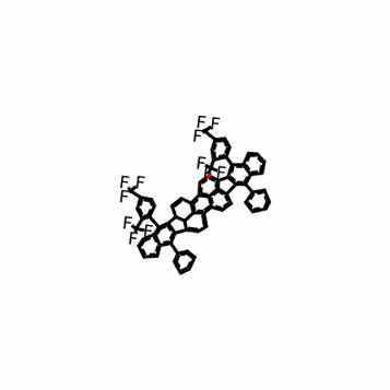 FC(F)(F)c1ccc(-c2c3c(c(-c4ccccc4)c4ccccc24)-c2ccc4c5c6c(c7ccc-3c2c74)C=CC2c3c(c(-c4ccccc4)c4ccccc4c3-c3ccc(C(F)(F)F)cc3C(F)(F)F)C(=CC=5)C62)c(C(F)(F)F)c1